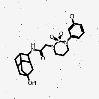 O=C(CN1CCCN(c2cccc(Cl)c2)S1(=O)=O)NC1C2CC3CC1CC(O)(C3)C2